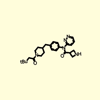 CC(C)(C)CC(=O)N1CCC(Cc2ccc(N(C(=O)C3CNC3)c3cccnn3)cc2)CC1